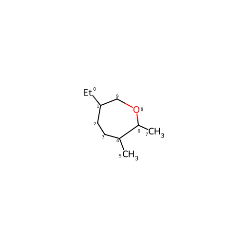 CCC1CCC(C)C(C)OC1